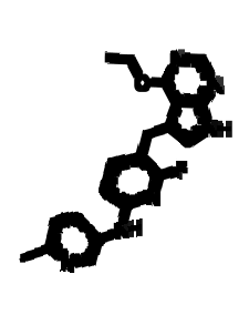 CCOc1ncnc2[nH]cc(Cc3ccc(Nc4ccc(C)nc4)nc3F)c12